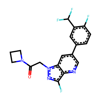 O=C(Cn1nc(F)c2ncc(-c3ccc(F)c(C(F)F)c3)cc21)N1CCC1